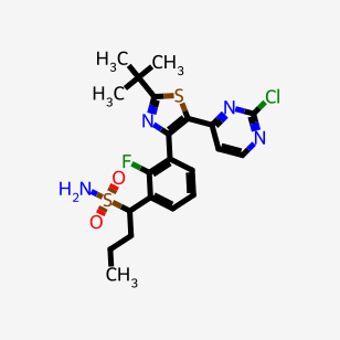 CCCC(c1cccc(-c2nc(C(C)(C)C)sc2-c2ccnc(Cl)n2)c1F)S(N)(=O)=O